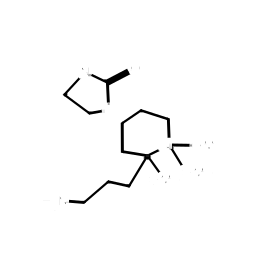 COC1(CCCN)CCCC[Si]1(OC)OC.O=C1NCCO1